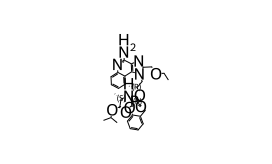 CCOCc1nc2c(N)nc3ccccc3c2n1C[C@@H](C)O[P@](=O)(N[C@@H](C)C(=O)OC(C)C)Oc1ccccc1C